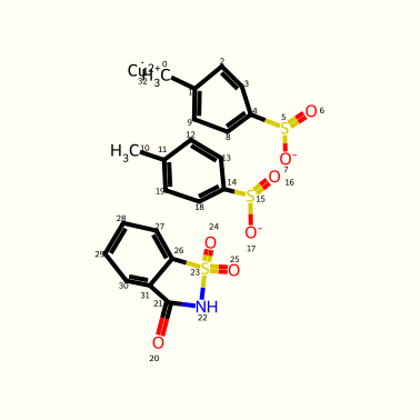 Cc1ccc(S(=O)[O-])cc1.Cc1ccc(S(=O)[O-])cc1.O=C1NS(=O)(=O)c2ccccc21.[Cu+2]